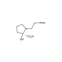 CCCCCCCCN1CCC[C@@]1(O)C(=O)O